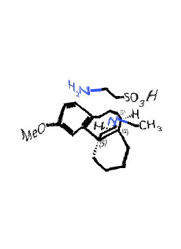 COc1ccc2c(c1)[C@]13CCCC[C@@H]1[C@H](C2)N(C)CC3.NCCS(=O)(=O)O